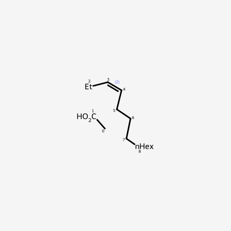 CC(=O)O.CC/C=C\CCCCCCCCC